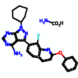 NC(=O)O.Nc1ncnc2c1c(-c1ccc3ccc(Oc4ccccc4)nc3c1F)nn2C1CCCCC1